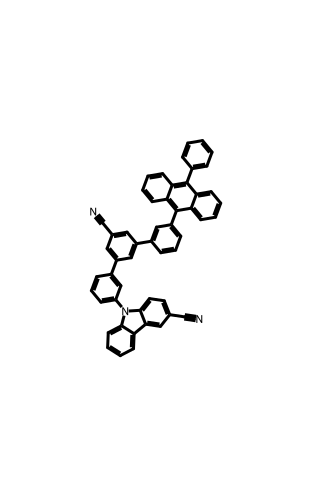 N#Cc1cc(-c2cccc(-c3c4ccccc4c(-c4ccccc4)c4ccccc34)c2)cc(-c2cccc(-n3c4ccccc4c4cc(C#N)ccc43)c2)c1